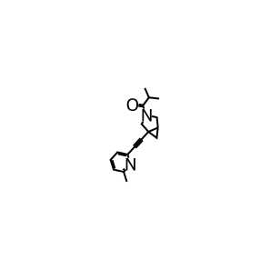 Cc1cccc(C#CC23CC2CN(C(=O)C(C)C)C3)n1